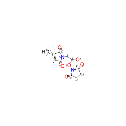 CC1=CC(=O)N(CC(=O)ON2C(=O)CCC2=O)C1=O